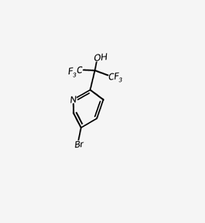 OC(c1ccc(Br)cn1)(C(F)(F)F)C(F)(F)F